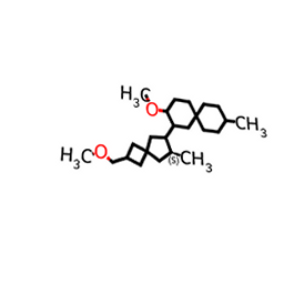 COCC1CC2(C1)CC(C1CC3(CCC(C)CC3)CCC1OC)[C@@H](C)C2